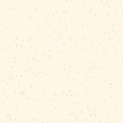 O=C1C(c2ccccc2)C1N1CCCC1